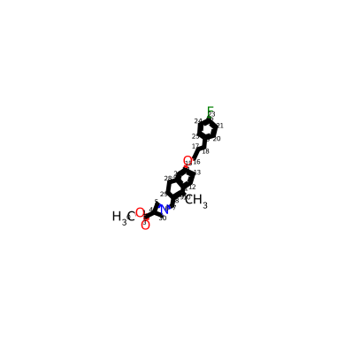 COC(=O)C1CN(CC2=C(C)c3ccc(OCCCc4ccc(F)cc4)cc3CC2)C1